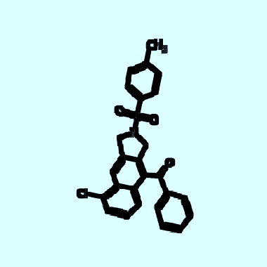 Cc1ccc(S(=O)(=O)N2Cc3cc4c(Cl)cccc4c(C(=O)c4ccccc4)c3C2)cc1